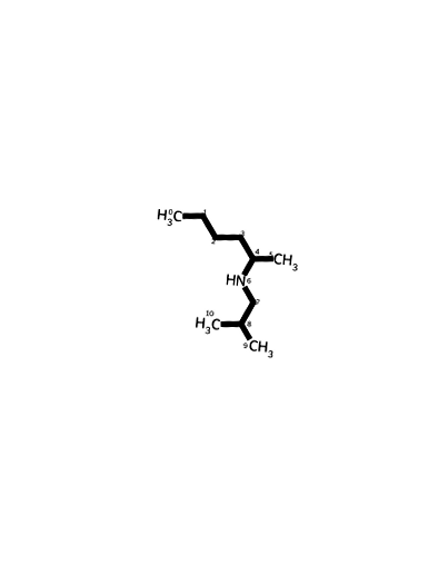 CCCC[C](C)NCC(C)C